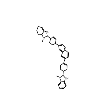 CN1c2ccccc2NC1C1CC=C(c2ccc3ccc(C4C=CC(C5NC6=CCCCC6N5C)CC4)cc3c2)CC1